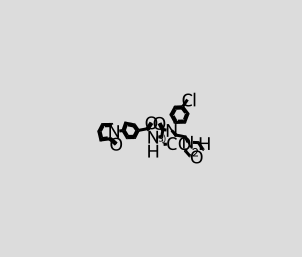 O=C(O)C[C@H](NC(=O)c1ccc(-n2ccccc2=O)cc1)C(=O)N(CCN1CCOCC1)c1ccc(Cl)cc1